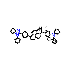 Cc1cc(N(c2ccccc2)c2ccccc2)c(C)cc1-c1ccc2ccc3c(-c4ccc(-c5nc6ccccc6n5-c5ccccc5)cc4)ccc4ccc1c2c43